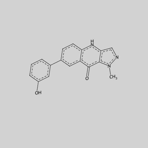 Cn1ncc2[nH]c3ccc(-c4cccc(O)c4)cc3c(=O)c21